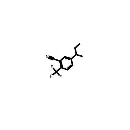 CCC(C)c1ccc(C(F)(F)F)c(C#N)c1